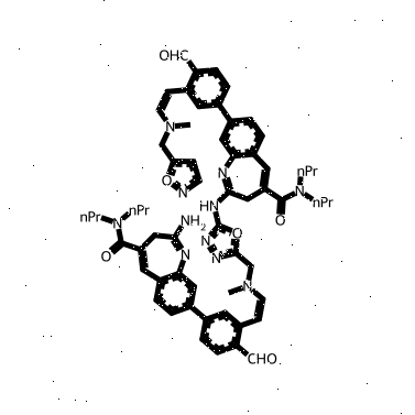 CCCN(CCC)C(=O)C1=Cc2ccc(-c3ccc(C=O)c(/C=C\N(C)Cc4nnc(NC5=Nc6cc(-c7ccc(C=O)c(/C=C\N(C)Cc8ccno8)c7)ccc6C=C(C(=O)N(CCC)CCC)C5)o4)c3)cc2N=C(N)C1